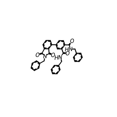 O=C(NCc1ccccc1)c1ccc(-c2cccc3c2C(=O)N(Cc2ccccc2)C3=O)cc1C(=O)NCc1ccccc1